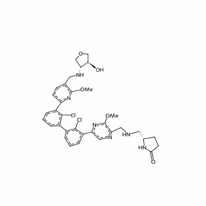 COc1nc(-c2cccc(-c3cccc(-c4cnc(CNC[C@@H]5CCC(=O)N5)c(OC)n4)c3Cl)c2Cl)ccc1CN[C@@H]1COC[C@H]1O